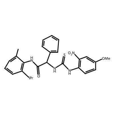 COc1ccc(NC(=S)NC(C(=O)Nc2c(C)cccc2C(C)C)c2ccccc2)c([N+](=O)[O-])c1